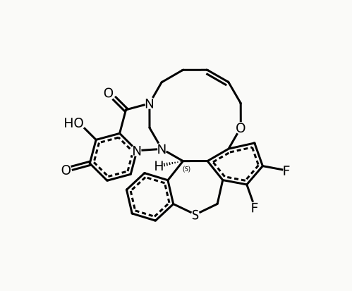 O=C1c2c(O)c(=O)ccn2N2CN1CCC=CCOc1cc(F)c(F)c3c1[C@H]2c1ccccc1SC3